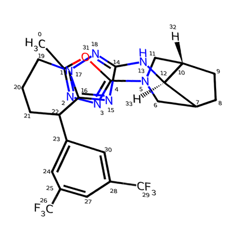 Cc1nnc(N2CC3CC[C@@H](C2)[C@@H]3Nc2nc3n(n2)CCCC3c2cc(C(F)(F)F)cc(C(F)(F)F)c2)o1